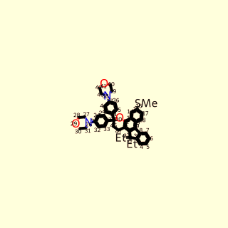 CCC1(CC)c2ccccc2-c2c1c1c(c3cc(SC)ccc23)OC(c2ccc(N3CCOCC3)cc2)(c2ccc(N3CCOCC3)cc2)CC1